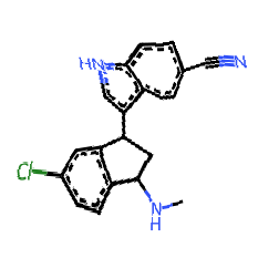 CNC1CC(c2c[nH]c3ccc(C#N)cc23)c2cc(Cl)ccc21